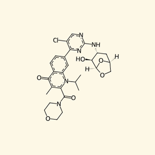 Cc1c(C(=O)N2CCOCC2)n(C(C)C)c2cc(-c3nc(N[C@@H]4C[C@H]5CO[C@H](O5)[C@H]4O)ncc3Cl)ccc2c1=O